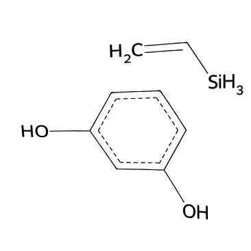 C=C[SiH3].Oc1cccc(O)c1